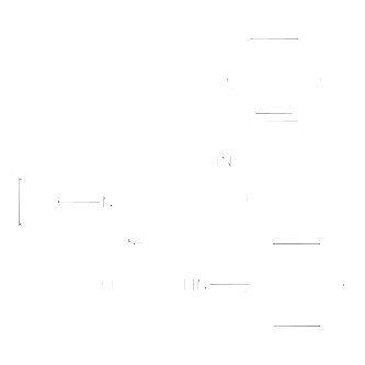 O=C(CNc1ccccc1S(=O)(=O)Nc1ccccc1)NC1CC1